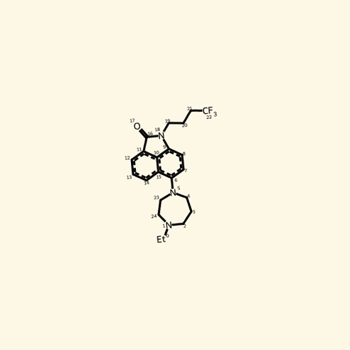 CCN1CCCN(c2ccc3c4c(cccc24)C(=O)N3CCCC(F)(F)F)CC1